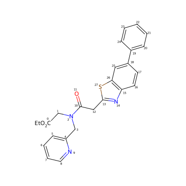 CCOC(=O)CN(Cc1ccccn1)C(=O)Cc1nc2ccc(-c3ccccc3)cc2s1